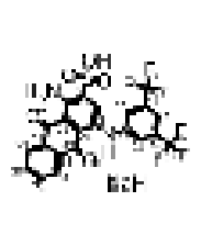 Nc1c(S(=O)(=O)O)cc(Nc2cc(C(F)(F)F)cc(C(F)(F)F)c2)c2c1C(=O)c1ccccc1C2=O.[NaH]